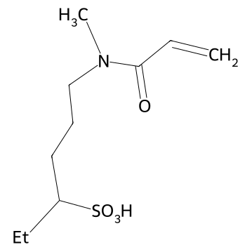 C=CC(=O)N(C)CCCC(CC)S(=O)(=O)O